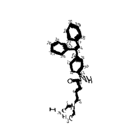 CCN(CC)CCCC(=O)Nc1ccc(C(=Cc2ccccc2)c2ccccc2)cc1